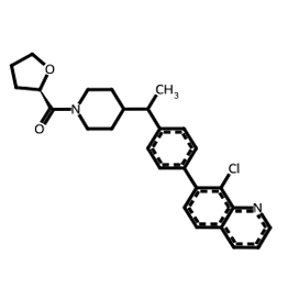 CC(c1ccc(-c2ccc3cccnc3c2Cl)cc1)C1CCN(C(=O)[C@H]2CCCO2)CC1